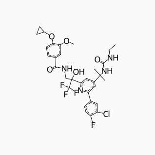 CCNC(=O)NC(C)(C)c1cc(-c2ccc(F)c(Cl)c2)nc(C(O)(CNC(=O)c2ccc(OC3CC3)c(OC)c2)C(F)(F)F)c1